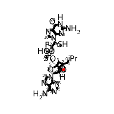 CC(C)CC12C[C@]3(COP(O)(=S)O[C@H](F)[C@@H](S)n4cnc5c(=O)[nH]c(N)nc54)O[C@@H](n4cnc5c(N)ncnc54)[C@H](O1)[C@H]23